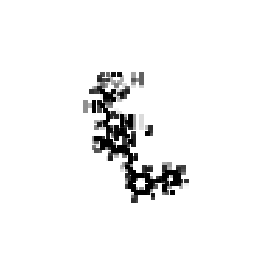 Nc1nc(CCc2cccc(-c3ccco3)c2)cc(=O)n1CCNC(=O)CC(=O)O